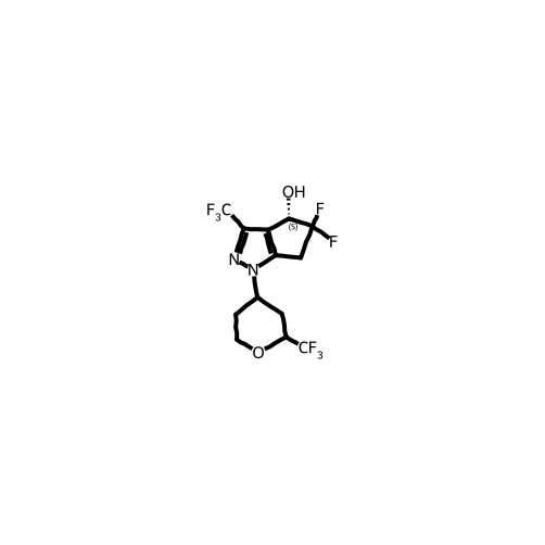 O[C@H]1c2c(C(F)(F)F)nn(C3CCOC(C(F)(F)F)C3)c2CC1(F)F